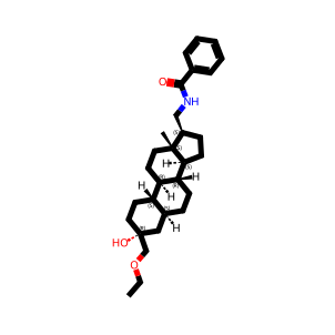 CCOC[C@@]1(O)CC[C@H]2[C@@H](CC[C@@H]3[C@@H]2CC[C@]2(C)[C@@H](CNC(=O)c4ccccc4)CC[C@@H]32)C1